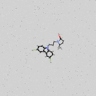 CC1CCC(=O)N1CCCn1c2ccc(F)cc2c2cc(F)ccc21